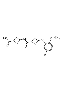 COc1ccc(F)cc1OC1CC(C(=O)NC2CN(C(=O)O)C2)C1